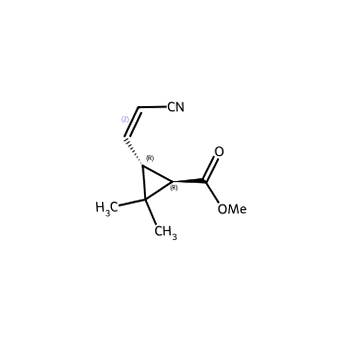 COC(=O)[C@@H]1[C@@H](/C=C\C#N)C1(C)C